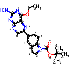 CCOc1nc(N)nc2ncc(-c3ccc4c(ccn4C(=O)OC(C)(C)C)c3)nc12